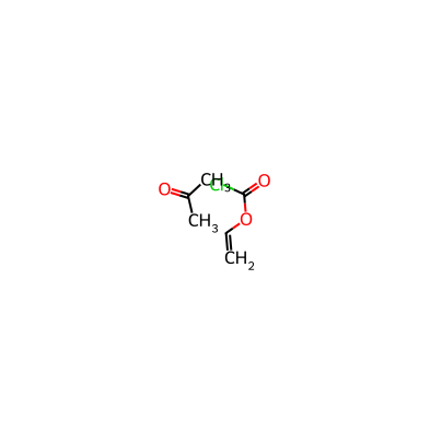 C=COC(=O)Cl.CC(C)=O